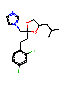 CC(C)CC1COC(CCc2ccc(Cl)cc2Cl)(Cn2ccnc2)O1